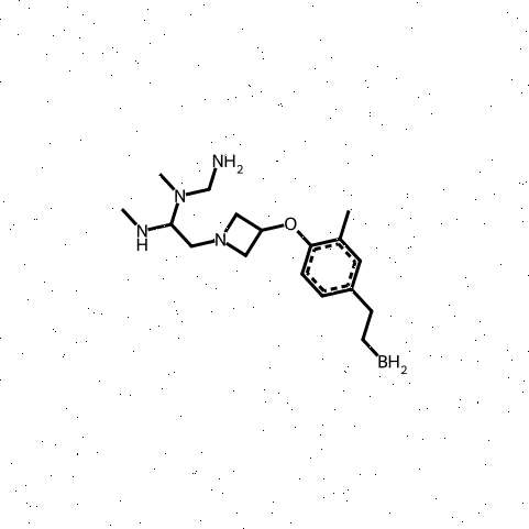 BCCc1ccc(OC2CN(CC(NC)N(C)CN)C2)c(C)c1